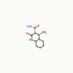 Cc1c(C(N)=O)c(=O)[nH]c2ccccc12